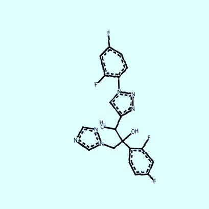 CC(c1cn(-c2ccc(F)cc2F)nn1)C(O)(Cn1cncn1)c1ccc(F)cc1F